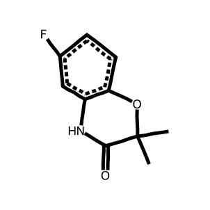 CC1(C)Oc2ccc(F)cc2NC1=O